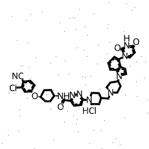 Cl.N#Cc1ccc(O[C@H]2CC[C@H](NC(=O)c3ccc(N4CCC(CN5CCC(n6ccc7c(-n8ccc(=O)[nH]c8=O)cccc76)CC5)CC4)nn3)CC2)cc1Cl